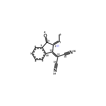 C/C=C1\C(=O)c2ccccc2C1=C(C#N)C#N